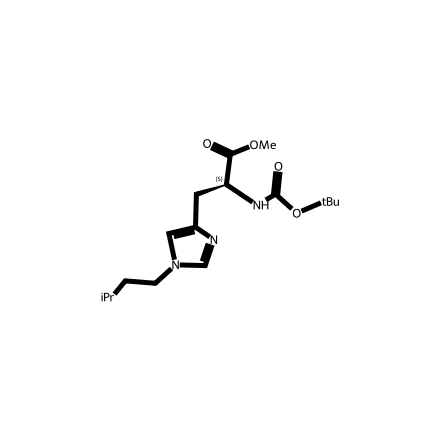 COC(=O)[C@H](Cc1cn(CCC(C)C)cn1)NC(=O)OC(C)(C)C